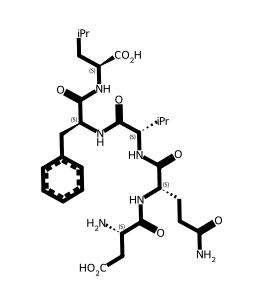 CC(C)C[C@H](NC(=O)[C@H](Cc1ccccc1)NC(=O)[C@@H](NC(=O)[C@H](CCC(N)=O)NC(=O)[C@@H](N)CC(=O)O)C(C)C)C(=O)O